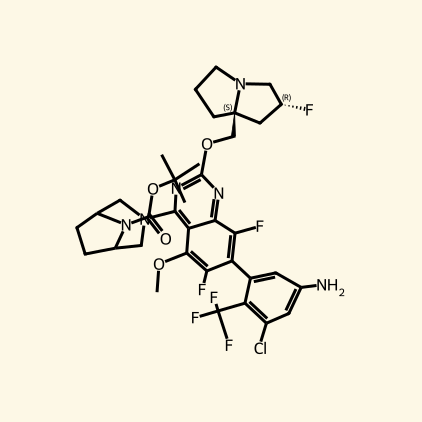 COc1c(F)c(-c2cc(N)cc(Cl)c2C(F)(F)F)c(F)c2nc(OC[C@@]34CCCN3C[C@H](F)C4)nc(N3CC4CCC(C3)N4C(=O)OC(C)(C)C)c12